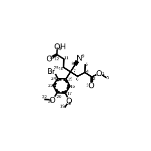 COC(=O)C(C)CC(C#N)(CCC(=O)O)c1cc(OC)c(OC)cc1Br